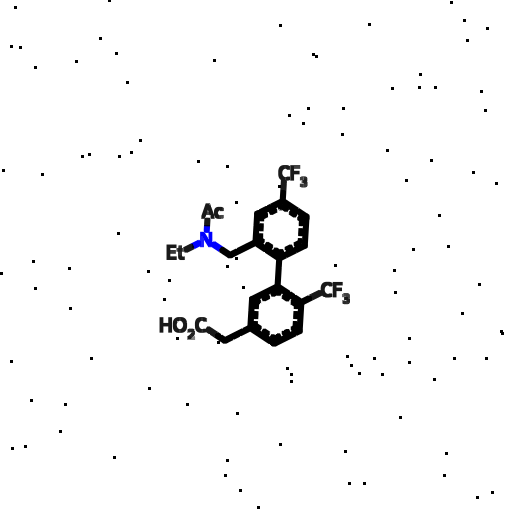 CCN(Cc1cc(C(F)(F)F)ccc1-c1cc(CC(=O)O)ccc1C(F)(F)F)C(C)=O